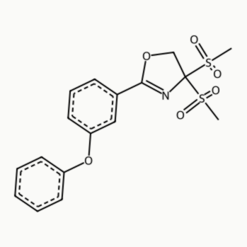 CS(=O)(=O)C1(S(C)(=O)=O)COC(c2cccc(Oc3ccccc3)c2)=N1